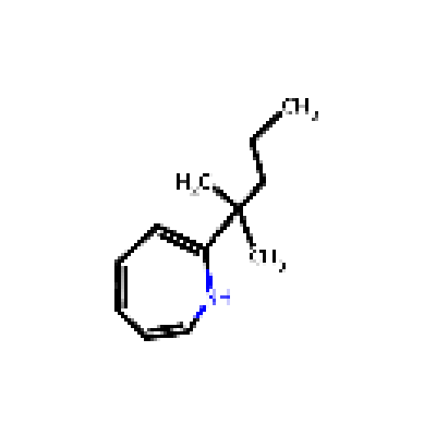 CCCC(C)(C)C1=CC=CC=CN1